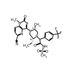 CC[C@@H]1CN(c2nc(=O)n(C)c3ccc(C#N)nc23)[C@@H](C)CN1C(C(=O)NS(C)(=O)=O)c1ccc(C(F)(F)F)cc1